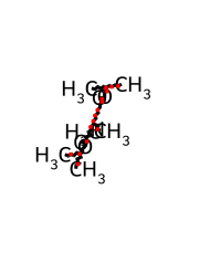 CCCCCC(CCCCC)CCOC(=O)CCCCCCCCC(CCCCCCC(=O)OCCC(CCCCC)CCCCC)CN(C)C